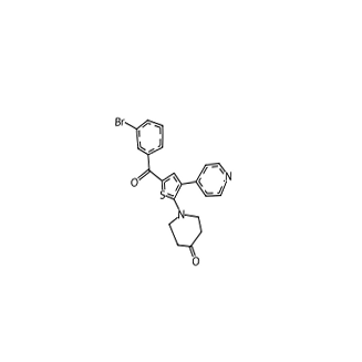 O=C1CCN(c2sc(C(=O)c3cccc(Br)c3)cc2-c2ccncc2)CC1